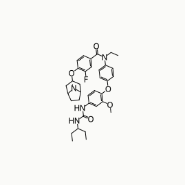 CCC(CC)NC(=O)Nc1ccc(Oc2ccc(N(CC)C(=O)c3ccc(OC4CC5CCC(C4)N5C)c(F)c3)cc2)c(OC)c1